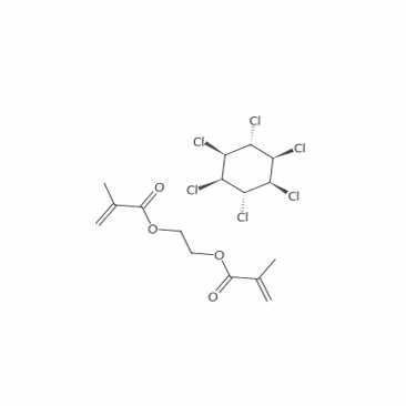 C=C(C)C(=O)OCCOC(=O)C(=C)C.Cl[C@H]1[C@H](Cl)[C@@H](Cl)[C@@H](Cl)[C@H](Cl)[C@H]1Cl